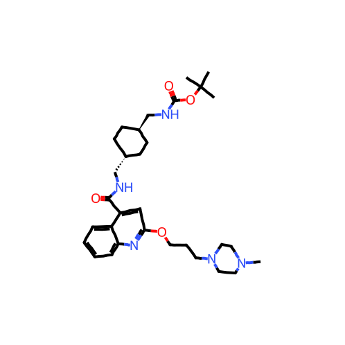 CN1CCN(CCCOc2cc(C(=O)NC[C@H]3CC[C@H](CNC(=O)OC(C)(C)C)CC3)c3ccccc3n2)CC1